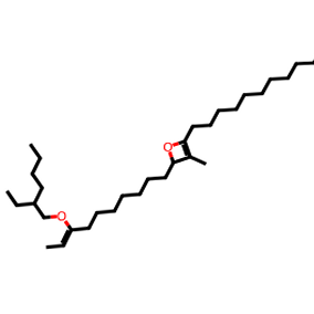 C/C=C(/CCCCCCCC1OC(CCCCCCCCCCC)=C1C)OCC(CC)CCCC